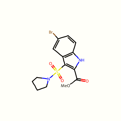 COC(=O)c1[nH]c2ccc(Br)cc2c1S(=O)(=O)N1CCCC1